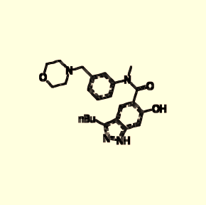 CCCCc1n[nH]c2cc(O)c(C(=O)N(C)c3cccc(CN4CCOCC4)c3)cc12